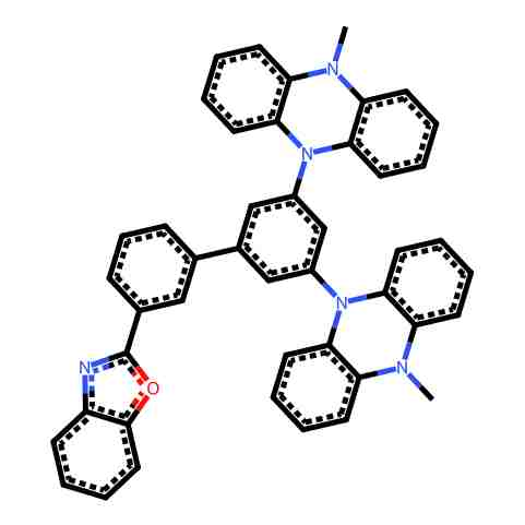 CN1c2ccccc2N(c2cc(-c3cccc(-c4nc5ccccc5o4)c3)cc(N3c4ccccc4N(C)c4ccccc43)c2)c2ccccc21